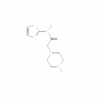 CN(C(=O)CN1CCN(C(=O)O)CC1)c1nccs1